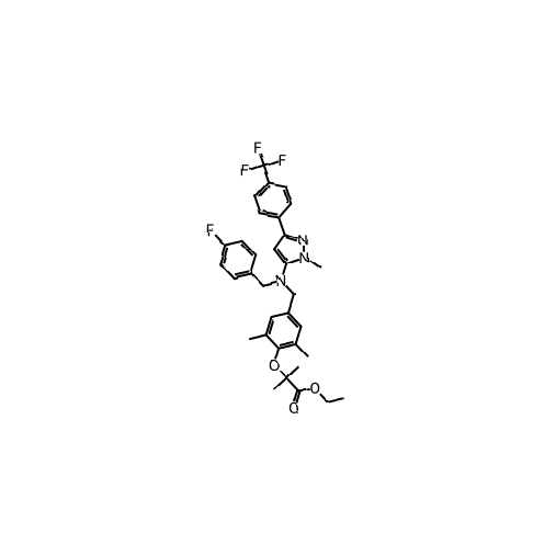 CCOC(=O)C(C)(C)Oc1c(C)cc(CN(Cc2ccc(F)cc2)c2cc(-c3ccc(C(F)(F)F)cc3)nn2C)cc1C